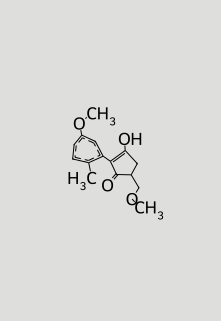 COCC1CC(O)=C(c2cc(OC)ccc2C)C1=O